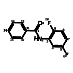 O=C(Nc1cc(F)ccc1F)c1ccccc1